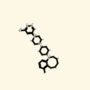 Cc1cccc2c1CCCCCN2[C@H]1CC[C@@H](N2CCN(c3cnnc(Cl)c3)CC2)CC1